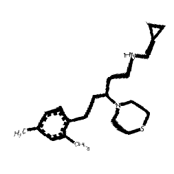 Cc1ccc(CCC(CCNC=C2CC2)N2CCSCC2)c(C)c1